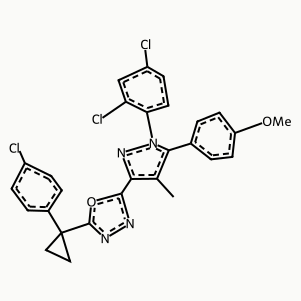 COc1ccc(-c2c(C)c(-c3nnc(C4(c5ccc(Cl)cc5)CC4)o3)nn2-c2ccc(Cl)cc2Cl)cc1